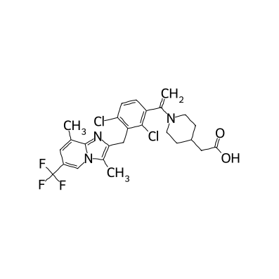 C=C(c1ccc(Cl)c(Cc2nc3c(C)cc(C(F)(F)F)cn3c2C)c1Cl)N1CCC(CC(=O)O)CC1